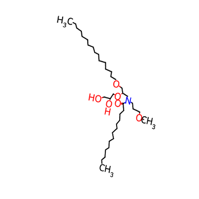 CCCCCCCCCCCCCCCCOCC(CN(CCCOC)C(=O)CCCCCCCCCCCCC)OCC(O)CO